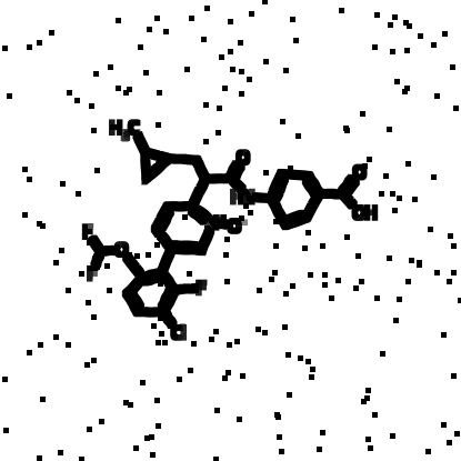 CC1CC1CC(C(=O)Nc1ccc(C(=O)O)cc1)c1ccc(-c2c(OC(F)F)ccc(Cl)c2F)c[n+]1[O-]